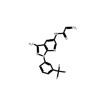 C=CC(=O)Nc1cnc2c(c1)c(C)nn2-c1cccc(C(F)(F)F)c1